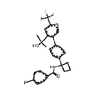 CC(C)(O)c1cc(C(F)(F)F)ncc1-c1ccc(C2(NC(=O)c3ccc(F)cc3)CCC2)cc1